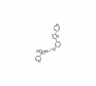 O[C@@H](CNCCOc1cccc(-c2csc(-c3ccncc3)n2)c1)c1cccnc1